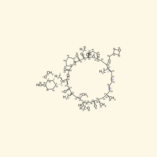 CO[C@@H]1C[C@H](C[C@@H](C)[C@@H]2CC(=O)[C@H](C)/C=C(\C)[C@@H](O)[C@@H](OC)C(=O)[C@H](C)C[C@H](C)/C=C/C=C/C=C(\C)C(OCC3COC3)C[C@@H]3CC[C@@H](C)[C@@](O)(O3)C(=O)C(=O)N3CCCCC3C(=O)O2)CC[C@H]1O